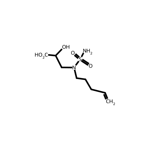 C=CCCCN(CC(O)C(=O)O)S(N)(=O)=O